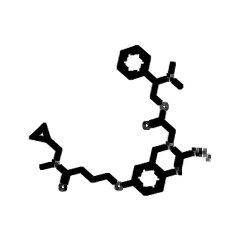 CN(CC1CC1)C(=O)CCCOc1ccc2c(c1)CN(CC(=O)OCC(c1ccccc1)N(C)C)C(N)=N2